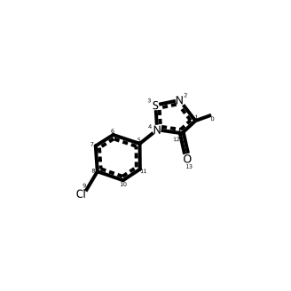 Cc1nsn(-c2ccc(Cl)cc2)c1=O